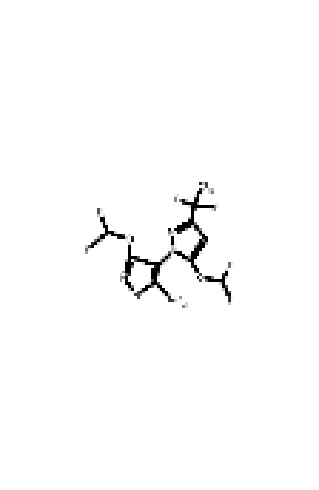 O=[N+]([O-])C1=C(n2nc(C(F)(F)C(F)(F)F)cc2OC(F)F)C(OC(F)F)=N[N]1